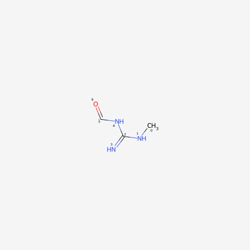 CNC(=N)N[C]=O